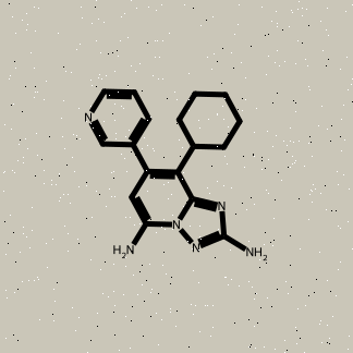 Nc1nc2c(C3CCCCC3)c(-c3cccnc3)cc(N)n2n1